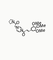 COc1cc(C=CC(=O)N2C=CN(CC(=O)N3CCCC3)C=C2)cc(OC)c1OC